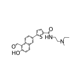 CCN(C)CCNC(=O)c1ccc(-c2ccc3c(C=O)c(O)ccc3c2)s1